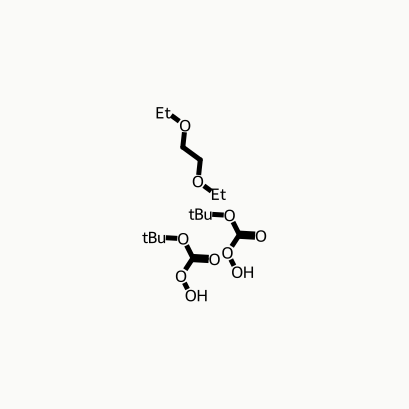 CC(C)(C)OC(=O)OO.CC(C)(C)OC(=O)OO.CCOCCOCC